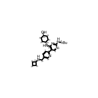 CCCCNc1ncc(-c2ccc(CNC3CCC3)cn2)c(N[C@H]2CC[C@H](O)CC2)n1